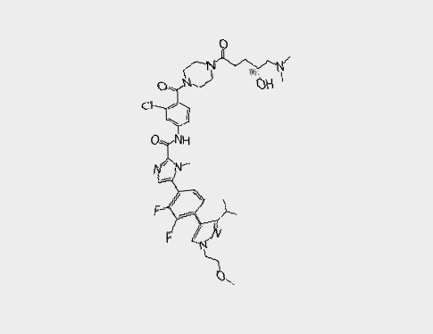 COCCn1cc(-c2ccc(-c3cnc(C(=O)Nc4ccc(C(=O)N5CCN(C(=O)CC[C@@H](O)CN(C)C)CC5)c(Cl)c4)n3C)c(F)c2F)c(C(C)C)n1